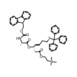 C[C@H](NC(=O)OCC1c2ccccc2-c2ccccc21)C(=O)O[C@H](/C=C/CCSC(c1ccccc1)(c1ccccc1)c1ccccc1)CC(=O)OCC[Si](C)(C)C